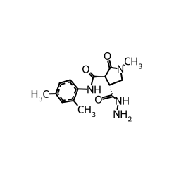 Cc1ccc(NC(=O)[C@H]2C(=O)N(C)C[C@@H]2C(=O)NN)c(C)c1